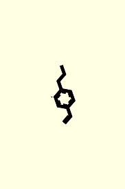 C=Cc1c[c]c(CCC)cc1